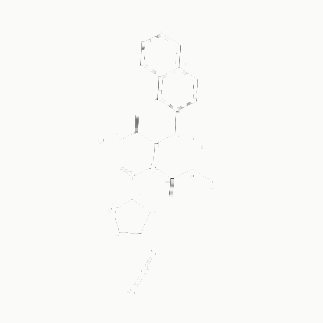 COC(=O)C(Cc1ccc2ccccc2c1)N(C(=O)[C@@H]1C[C@H](N=[N+]=[N-])CN1)C(=O)[C@@H](N)C(C)(C)C